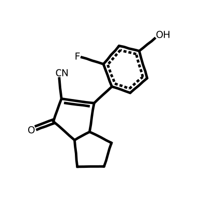 N#CC1=C(c2ccc(O)cc2F)C2CCCC2C1=O